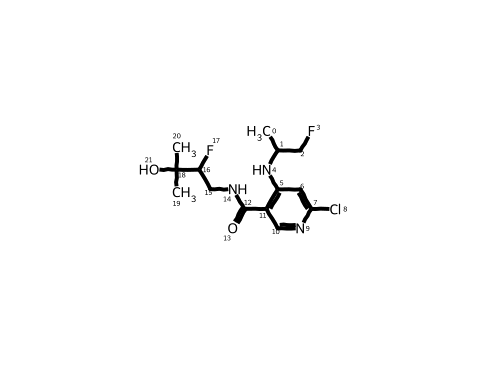 CC(CF)Nc1cc(Cl)ncc1C(=O)NCC(F)C(C)(C)O